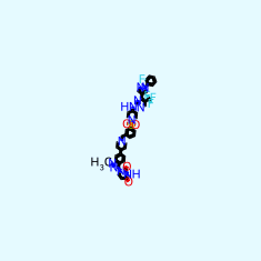 Cn1nc(N2CCC(=O)NC2=O)c2ccc(C3CCN(Cc4cccc(S(=O)(=O)N5CCC(Nc6ncc(C(F)(F)F)c(-c7cnn(-c8ccccc8F)c7)n6)CC5)c4)CC3)cc21